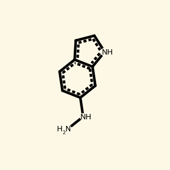 NNc1ccc2cc[nH]c2c1